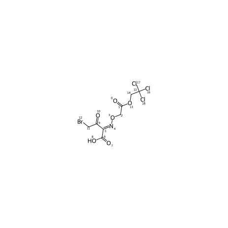 O=C(CO/N=C(/C(=O)O)C(=O)CBr)OCC(Cl)(Cl)Cl